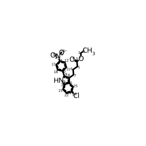 CCOC(=O)CCCc1c(-c2ccc([N+](=O)[O-])cc2)[nH]c2ccc(Cl)cc12